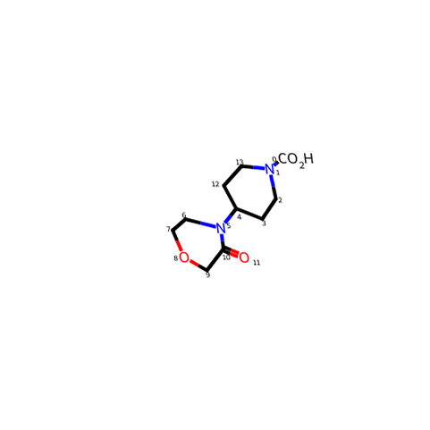 O=C(O)N1CCC(N2CCOCC2=O)CC1